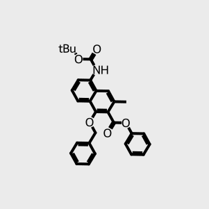 Cc1cc2c(NC(=O)OC(C)(C)C)cccc2c(OCc2ccccc2)c1C(=O)Oc1ccccc1